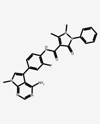 Cc1c(C(=O)Nc2ccc(-c3cn(C)c4ncnc(N)c34)cc2F)c(=O)n(-c2ccccc2)n1C